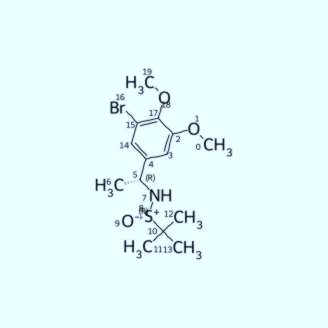 COc1cc([C@@H](C)N[S@@+]([O-])C(C)(C)C)cc(Br)c1OC